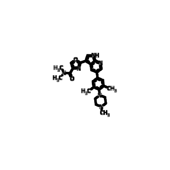 Cc1cc(-c2cnc3[nH]cc(-c4nc(C(=O)N(C)C)co4)c3c2)cc(C)c1N1CCN(C)CC1